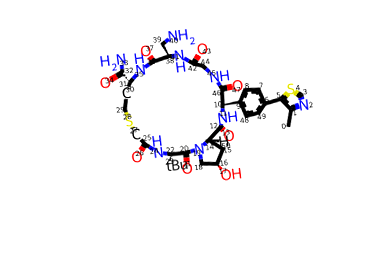 Cc1ncsc1-c1ccc([C@H]2NC(=O)[C@@H]3C[C@@H](O)CN3C(=O)[C@H](C(C)(C)C)NC(=O)CSCC[C@H](C(N)=O)NC(=O)[C@@H](CN)NC(=O)CNC2=O)cc1